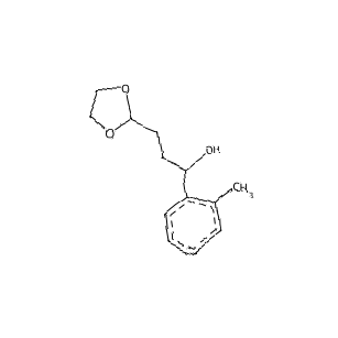 Cc1ccccc1C(O)CCC1OCCO1